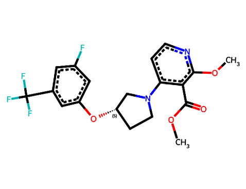 COC(=O)c1c(N2CC[C@H](Oc3cc(F)cc(C(F)(F)F)c3)C2)ccnc1OC